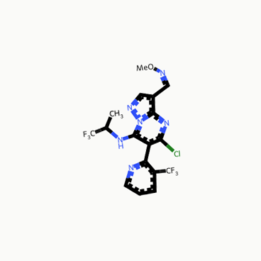 CO/N=C\c1cnn2c(NC(C)C(F)(F)F)c(-c3ncccc3C(F)(F)F)c(Cl)nc12